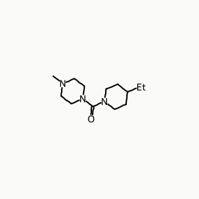 CCC1CCN(C(=O)N2CCN(C)CC2)CC1